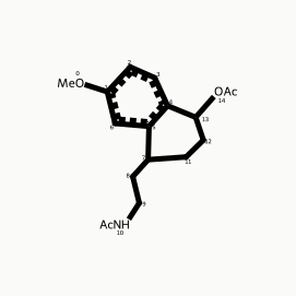 COc1ccc2c(c1)C(CCNC(C)=O)CCC2OC(C)=O